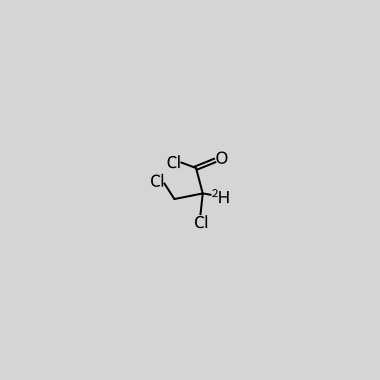 [2H]C(Cl)(CCl)C(=O)Cl